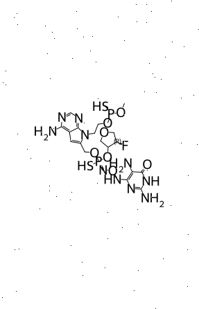 COP(S)OCCn1c(COP(S)(=NONc2nc(N)[nH]c(=O)c2N)OC2COC[C@H]2F)cc2c(N)ncnc21